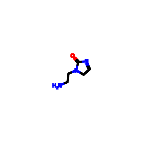 NCCN1CC=NC1=O